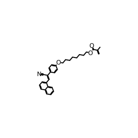 C=C(C)C(=O)OCCCCCCCCOc1ccc(C(C#N)=Cc2cccc3ccccc23)cc1